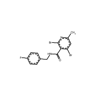 Cc1cc(Br)c(C(=O)NCc2ccc(F)cc2)c(Br)n1